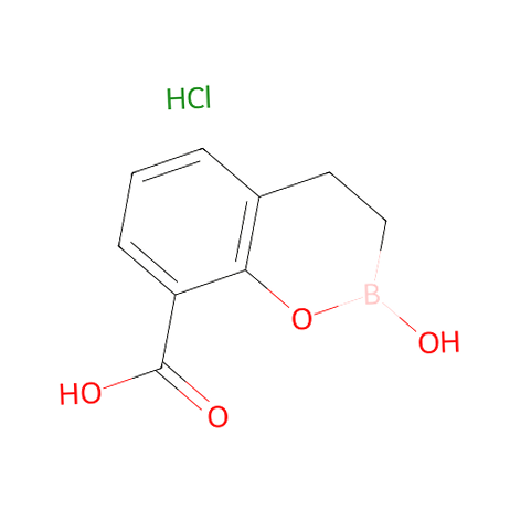 Cl.O=C(O)c1cccc2c1OB(O)CC2